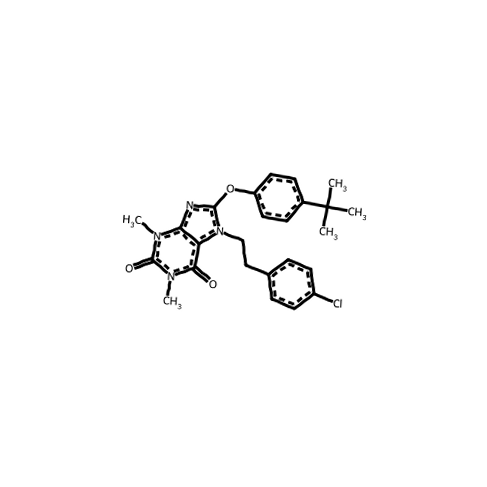 Cn1c(=O)c2c(nc(Oc3ccc(C(C)(C)C)cc3)n2CCc2ccc(Cl)cc2)n(C)c1=O